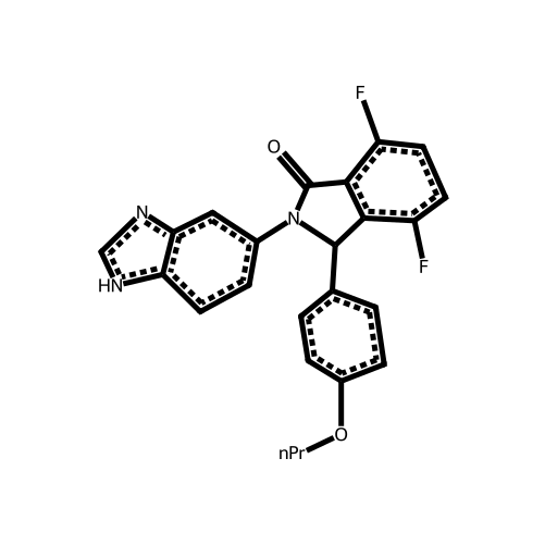 CCCOc1ccc(C2c3c(F)ccc(F)c3C(=O)N2c2ccc3[nH]cnc3c2)cc1